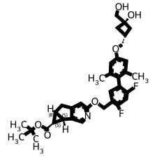 Cc1cc(OC[C@H]2C[C@@](O)(CO)C2)cc(C)c1-c1cc(COc2cc3c(cn2)[C@H]2[C@@H](C3)[C@@H]2C(=O)OC(C)(C)C)c(F)cc1F